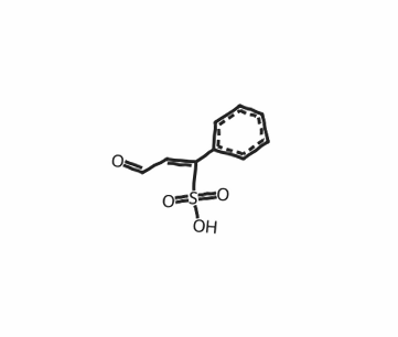 O=C/C=C(/c1ccccc1)S(=O)(=O)O